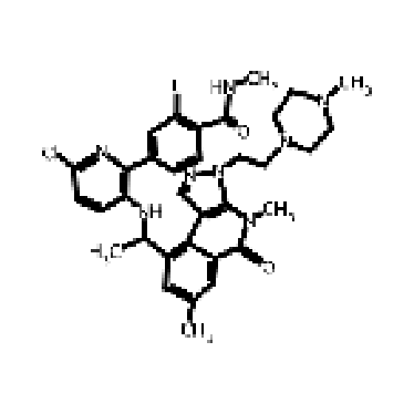 CNC(=O)c1ccc(-c2nc(Cl)ccc2NC(C)c2cc(C)cc3c(=O)n(C)c4c(cnn4CCN4CCN(C)CC4)c23)cc1F